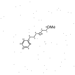 COCCOCCCc1cc[c]cc1